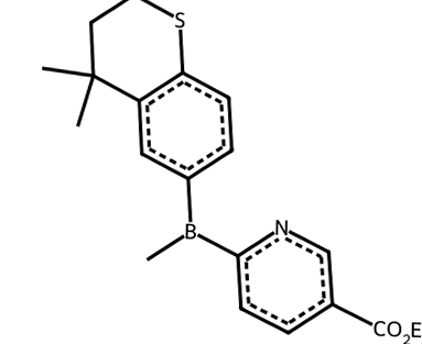 CCOC(=O)c1ccc(B(C)c2ccc3c(c2)C(C)(C)CCS3)nc1